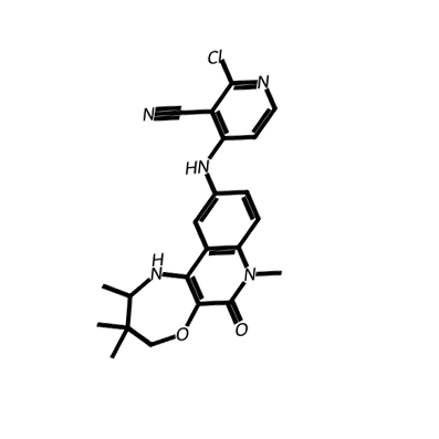 CC1Nc2c(c(=O)n(C)c3ccc(Nc4ccnc(Cl)c4C#N)cc23)OCC1(C)C